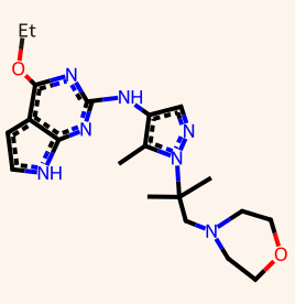 CCOc1nc(Nc2cnn(C(C)(C)CN3CCOCC3)c2C)nc2[nH]ccc12